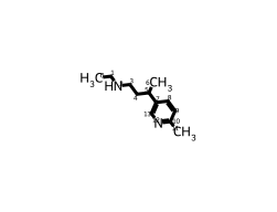 CCNCCC(C)c1ccc(C)nc1